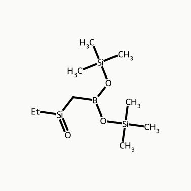 CC[Si](=O)CB(O[Si](C)(C)C)O[Si](C)(C)C